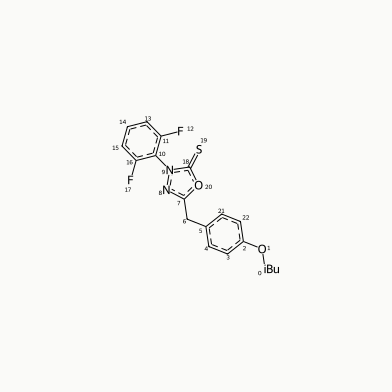 CCC(C)Oc1ccc(Cc2nn(-c3c(F)cccc3F)c(=S)o2)cc1